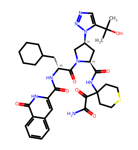 CC(C)(O)c1cnnn1[C@H]1C[C@@H](C(=O)NC2(C(=O)C(N)=O)CCSCC2)N(C(=O)[C@@H](CC2CCCCC2)NC(=O)c2cc3ccccc3c(=O)[nH]2)C1